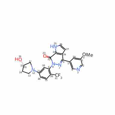 COc1cncc(-c2nn(-c3cc(N4CC[C@H](O)C4)ccc3C(F)(F)F)c(=O)c3[nH]ccc23)c1